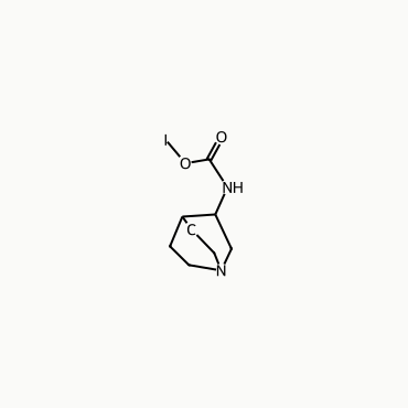 O=C(NC1CN2CCC1CC2)OI